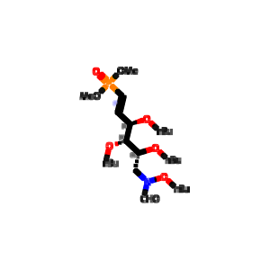 CCCCO[C@H]([C@@H](/C=C/P(=O)(OC)OC)OCCCC)[C@@H](CN(C=O)OCCCC)OCCCC